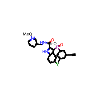 C#Cc1cc(C)cc(P(=O)(OC)c2c(C(=O)NCc3ccc[n+](OC)c3)[nH]c3ccc(Cl)cc23)c1